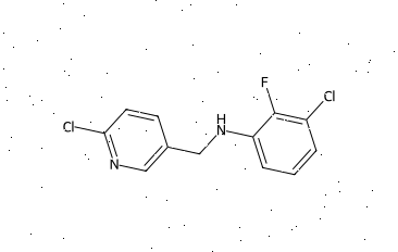 Fc1c(Cl)cccc1NCc1ccc(Cl)nc1